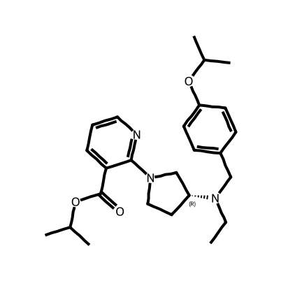 CCN(Cc1ccc(OC(C)C)cc1)[C@@H]1CCN(c2ncccc2C(=O)OC(C)C)C1